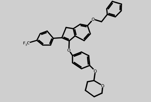 FC(F)(F)c1ccc(C2=C(Oc3ccc(OC4CCCCO4)cc3)c3ccc(OCc4ccccc4)cc3C2)cc1